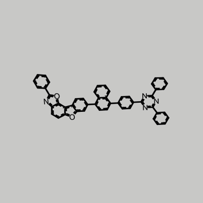 c1ccc(-c2nc(-c3ccccc3)nc(-c3ccc(-c4ccc(-c5ccc6c(c5)oc5ccc7nc(-c8ccccc8)oc7c56)c5ccccc45)cc3)n2)cc1